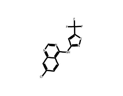 FC(F)(F)c1cc(Nc2ncnc3cc(Cl)ccc23)ns1